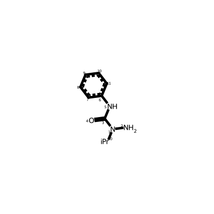 CC(C)N(N)C(=O)Nc1ccccc1